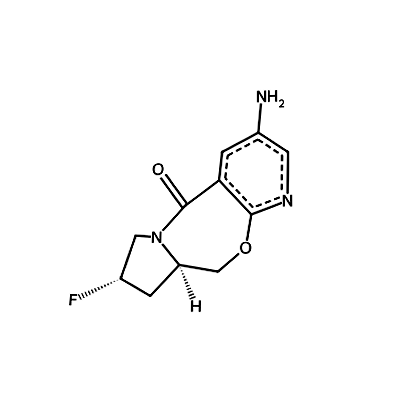 Nc1cnc2c(c1)C(=O)N1C[C@@H](F)C[C@@H]1CO2